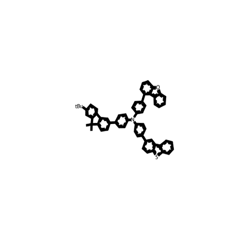 CC(C)(C)c1ccc2c(c1)C(C)(C)c1ccc(-c3ccc(N(c4ccc(-c5ccc6sc7ccccc7c6c5)cc4)c4ccc(-c5cccc6oc7ccccc7c56)cc4)cc3)cc1-2